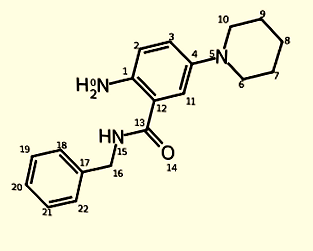 Nc1ccc(N2CCCCC2)cc1C(=O)NCc1ccccc1